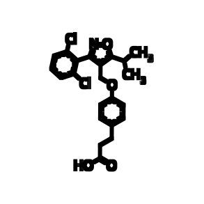 CC(C)c1onc(-c2c(Cl)cccc2Cl)c1COc1ccc(CCC(=O)O)cc1